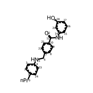 CCCc1ccc(NCc2ccc(C(=O)Nc3cccc(O)c3)cc2)cc1